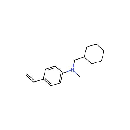 C=Cc1ccc(N(C)CC2CCCCC2)cc1